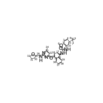 COc1ccc(C(C)(C)C)cc1NC(=O)Nc1ccc(Oc2cc(C)nc(NCC3CCCO3)n2)c2ccccc12